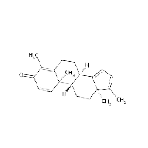 CC1=CC=C2[C@@H]3CCC4=C(C)C(=O)C=C[C@]4(C)[C@H]3CC[C@]12C